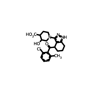 Cc1cccc(Cl)c1C(=O)C1CCCc2[nH]nc(N3CCC(C(=O)O)C(O)C3)c21